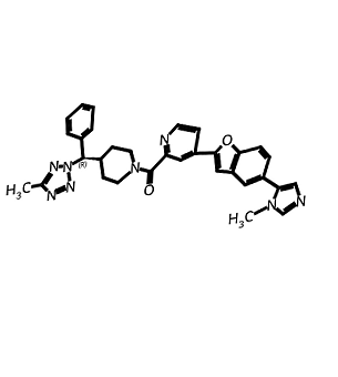 Cc1nnn([C@@H](c2ccccc2)C2CCN(C(=O)c3cc(-c4cc5cc(-c6cncn6C)ccc5o4)ccn3)CC2)n1